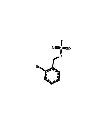 CS(=O)(=O)OCc1ccccc1Br